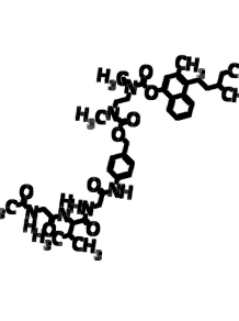 CCC(C)CCc1c(C)cc(OC(=O)N(C)CCN(C)C(=O)OCc2ccc(NC(=O)CNC(=O)C(NC(=O)CNC(C)=O)C(C)C)cc2)c2ccccc12